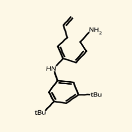 C=CC/C=C(\C=C/CN)Nc1cc(C(C)(C)C)cc(C(C)(C)C)c1